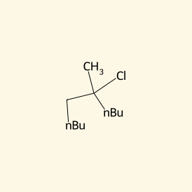 CCCCCC(C)(Cl)CCCC